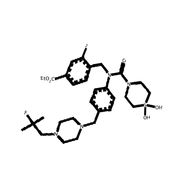 CCOC(=O)c1ccc(CN(C(=O)N2CCS(O)(O)CC2)c2ccc(CN3CCN(CC(C)(C)F)CC3)cc2)c(F)c1